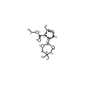 CCOC(=O)c1c(B2OCC(C)(C)CO2)cnn1C